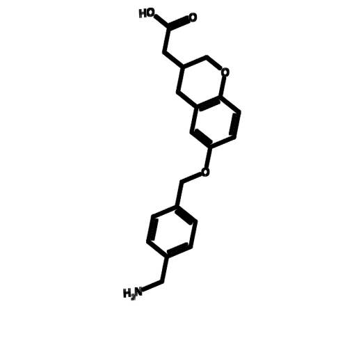 NCc1ccc(COc2ccc3c(c2)CC(CC(=O)O)CO3)cc1